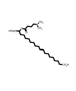 CCCCCCCC(CCCCCCCCC=CCCCCCCCC(=O)O)OC(=O)CCCN(C)C